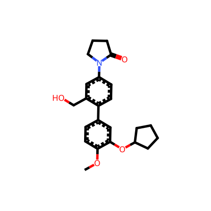 COc1ccc(-c2ccc(N3CCCC3=O)cc2CO)cc1OC1CCCC1